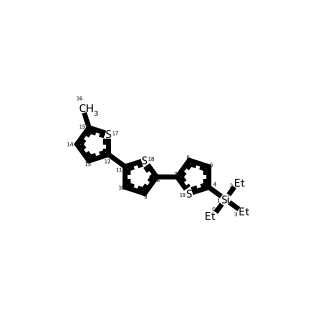 CC[Si](CC)(CC)c1ccc(-c2ccc(-c3ccc(C)s3)s2)s1